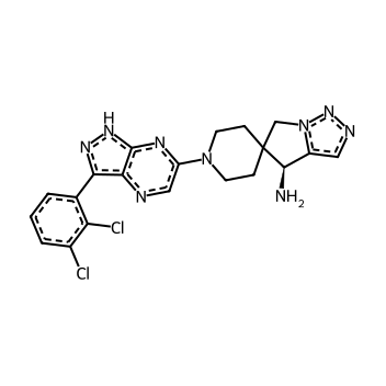 N[C@@H]1c2cnnn2CC12CCN(c1cnc3c(-c4cccc(Cl)c4Cl)n[nH]c3n1)CC2